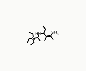 CCC(NC(C)[Si](CC)(CC)CC)C(C)=C(C)[SiH3]